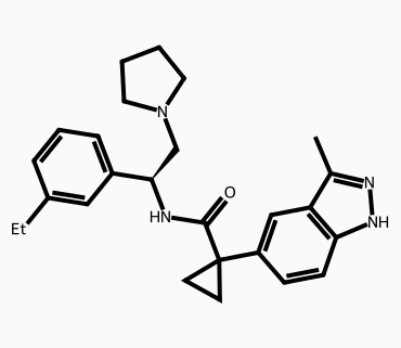 CCc1cccc([C@@H](CN2CCCC2)NC(=O)C2(c3ccc4[nH]nc(C)c4c3)CC2)c1